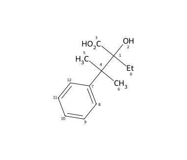 CCC(O)(C(=O)O)C(C)(C)c1ccccc1